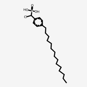 CCCCCCCCCCCCCCCc1ccc(C(Cl)P(=O)(O)O)cc1